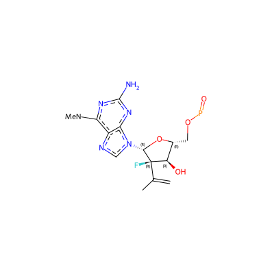 C=C(C)[C@@]1(F)[C@H](O)[C@@H](COP=O)O[C@H]1n1cnc2c(NC)nc(N)nc21